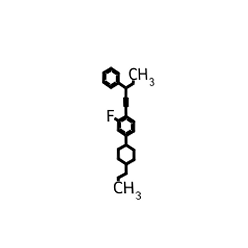 CCCC1CCC(c2ccc(C#CC(CC)c3ccccc3)c(F)c2)CC1